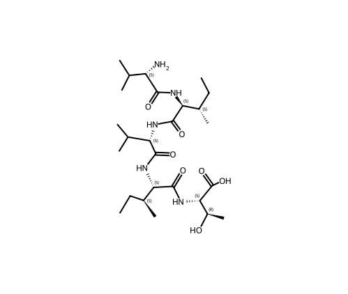 CC[C@H](C)[C@H](NC(=O)[C@@H](N)C(C)C)C(=O)N[C@H](C(=O)N[C@H](C(=O)N[C@H](C(=O)O)[C@@H](C)O)[C@@H](C)CC)C(C)C